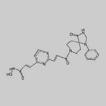 O=C(C=Cc1cccc(C=CC(=O)N2CCC3(CC2)C(=O)NCN3c2ccccc2)n1)NO